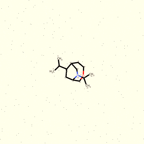 CC(C)C1CC2COCCC1CN2C(C)C